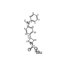 CN(c1ccccc1)c1ccc(C2CN(C(=O)OC(C)(C)C)C2)cc1